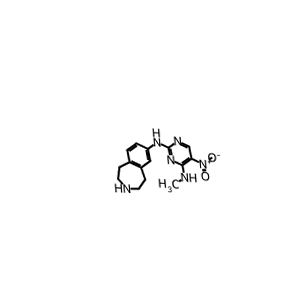 CNc1nc(Nc2ccc3c(c2)CCNCC3)ncc1[N+](=O)[O-]